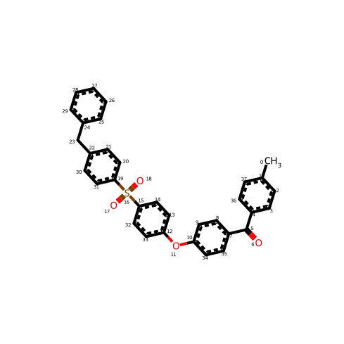 Cc1ccc(C(=O)c2ccc(Oc3ccc(S(=O)(=O)c4ccc(Cc5ccccc5)cc4)cc3)cc2)cc1